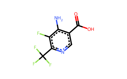 Nc1c(C(=O)O)cnc(C(F)(F)F)c1F